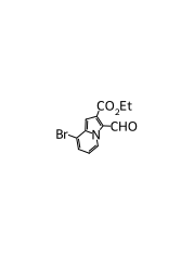 CCOC(=O)c1cc2c(Br)cccn2c1C=O